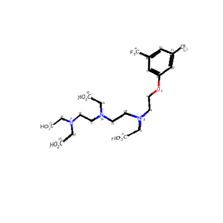 O=C(O)CN(CCOc1cc(C(F)(F)F)cc(C(F)(F)F)c1)CCN(CCN(CC(=O)O)CC(=O)O)CC(=O)O